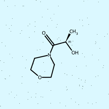 C[C@@H](O)C(=O)N1CCOCC1